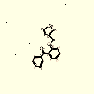 O=C(c1ccccc1)c1ccccc1OCc1ccsc1